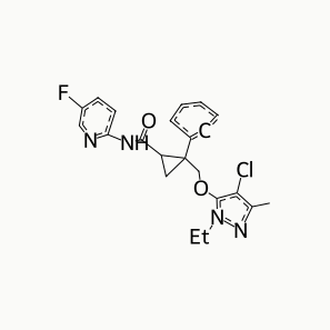 CCn1nc(C)c(Cl)c1OCC1(c2ccccc2)CC1C(=O)Nc1ccc(F)cn1